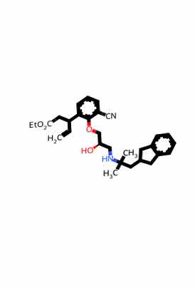 C=CC(CC(=O)OCC)c1cccc(C#N)c1OC[C@H](O)CNC(C)(C)CC1Cc2ccccc2C1